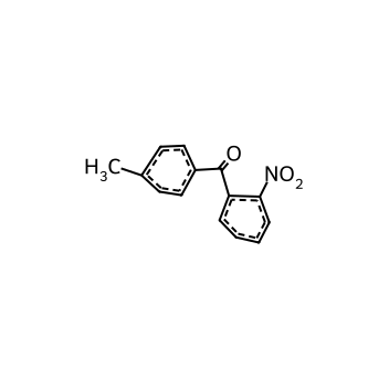 Cc1ccc(C(=O)c2ccccc2[N+](=O)[O-])cc1